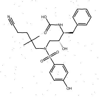 CC(C)(CCC#N)CN(C[C@@H](O)[C@H](Cc1ccccc1)NC(=O)O)S(=O)(=O)c1ccc(O)cc1